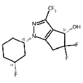 O[C@H]1c2c(C(F)(F)F)nn([C@H]3CCC[C@@H](F)C3)c2CC1(F)F